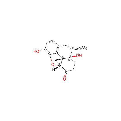 CN[C@@H]1Cc2ccc(O)c3c2[C@@]2(C)[C@@H](O3)C(=O)CC[C@@]12O